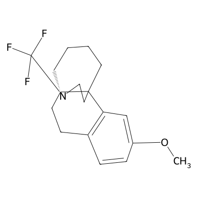 COc1ccc2c(c1)C13CCCC[C@@]1(CC2)N(C(F)(F)F)CC3